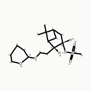 CC1(C)C2CC1[C@@H](CCOC1CCCCO1)[C@@H](OS(C)(=O)=O)C2